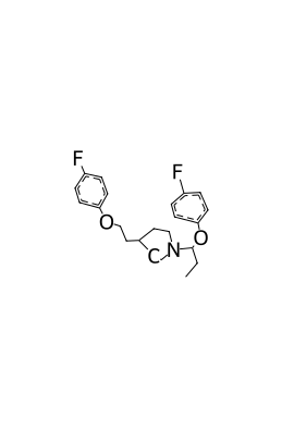 CCC(Oc1ccc(F)cc1)N1CCC(CCOc2ccc(F)cc2)CC1